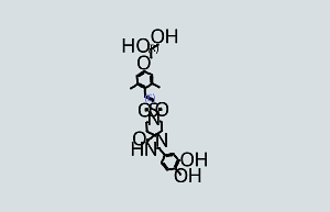 Cc1cc(OC[C@H](O)CO)cc(C)c1/C=C/S(=O)(=O)N1CCC2(CC1)N=C(c1ccc(O)c(O)c1)NC2=O